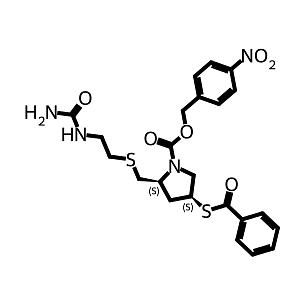 NC(=O)NCCSC[C@@H]1C[C@H](SC(=O)c2ccccc2)CN1C(=O)OCc1ccc([N+](=O)[O-])cc1